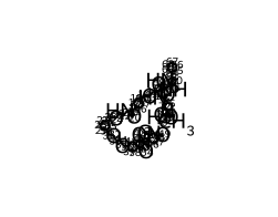 CS(=O)(=O)N1CCC(C(=O)N[C@@H](COCc2ccc(C(=O)NCCOCc3cccc(COCCOc4ccc5c(c4)C(=O)N(C4CCC(=O)NC4=O)C5=O)c3)cc2)C(=O)NC2NC(c3ccccc3)CS2)C1